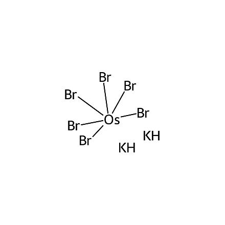 [Br][Os]([Br])([Br])([Br])([Br])[Br].[KH].[KH]